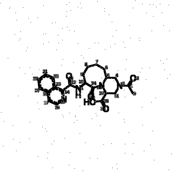 CC(=O)N1CC2CCCCC(NC(=O)c3nccc4ccccc34)C(=O)N2C(C(=O)O)C1